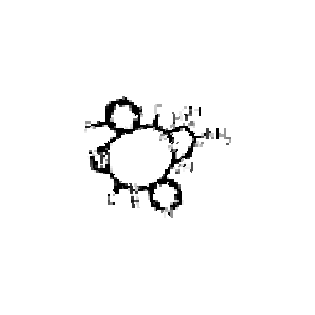 N[C@H]1C[C@@H]2O[C@@H](C(F)c3cccc(F)c3-c3nc(cs3)C(=O)Nc3cnccc32)[C@@H]1O